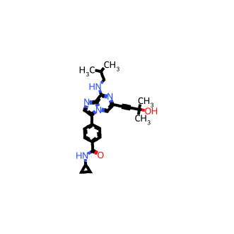 CC(C)CNc1nc(C#CC(C)(C)O)cn2c(-c3ccc(C(=O)NC4CC4)cc3)cnc12